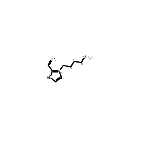 C=Cc1[nH]cc[n+]1CCCCS(=O)(=O)O